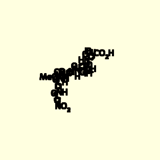 CCC(C)Oc1cc(C(=O)O)ccc1NC(=O)c1ccc(NC(=O)c2ccc(NC(=O)C(NC(=O)c3ccc(NC(=O)c4ccc([N+](=O)[O-])cc4)cc3)C(OC)C(=O)O)cc2)c(OC(C)C)c1O